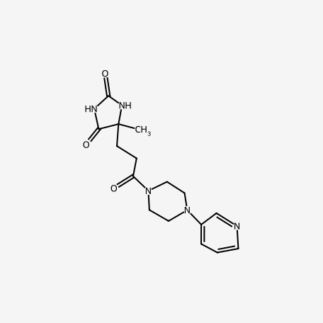 CC1(CCC(=O)N2CCN(c3cccnc3)CC2)NC(=O)NC1=O